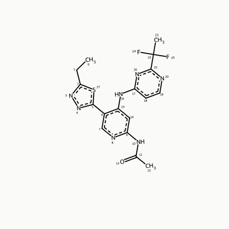 CCc1nnc(-c2cnc(NC(C)=O)cc2Nc2ccnc(C(C)(F)F)n2)s1